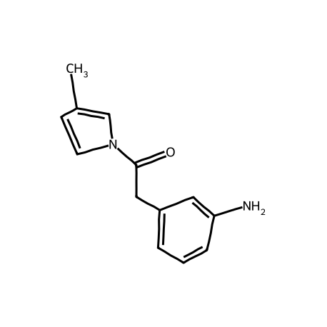 Cc1ccn(C(=O)Cc2cccc(N)c2)c1